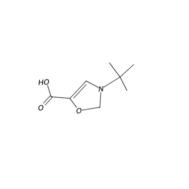 CC(C)(C)N1C=C(C(=O)O)OC1